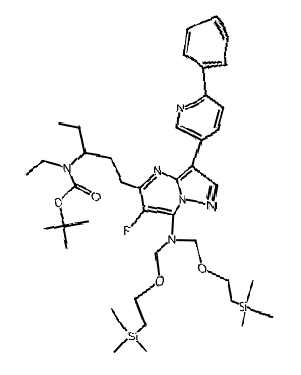 CCC(CCc1nc2c(-c3ccc(-c4ccccc4)nc3)cnn2c(N(COCC[Si](C)(C)C)COCC[Si](C)(C)C)c1F)N(CC)C(=O)OC(C)(C)C